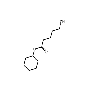 [CH2]CCCCC(=O)OC1CCCCC1